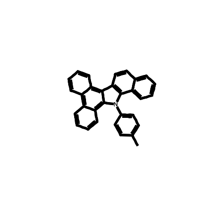 Cc1ccc(-n2c3c4ccccc4ccc3c3c4ccccc4c4ccccc4c32)cc1